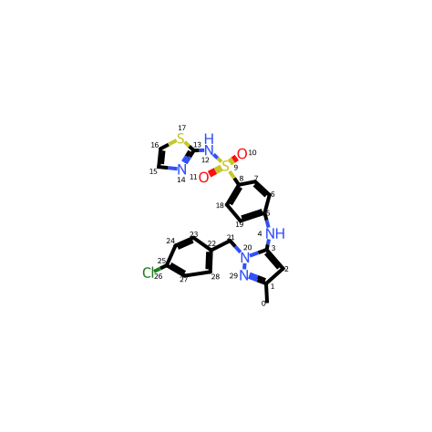 Cc1cc(Nc2ccc(S(=O)(=O)Nc3nccs3)cc2)n(Cc2ccc(Cl)cc2)n1